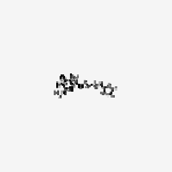 Nc1nc2c(ncn2OCCCOCc2ccccc2)c(=O)[nH]1